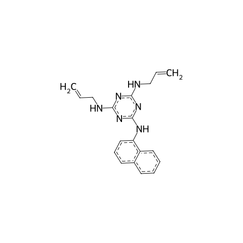 C=CCNc1nc(NCC=C)nc(Nc2cccc3ccccc23)n1